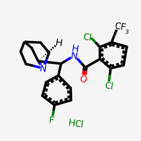 Cl.O=C(NC(c1ccc(F)cc1)[C@@H]1CC2CCN1CC2)c1c(Cl)ccc(C(F)(F)F)c1Cl